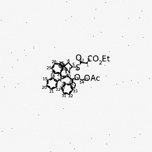 CCOC(=O)CC(=O)S[C@@H]1CC(=O)N1C(C(=O)OCOC(C)=O)=P(c1ccccc1)(c1ccccc1)c1ccccc1